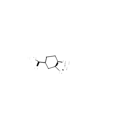 NC(=O)C1CCc2[nH]nnc2C1